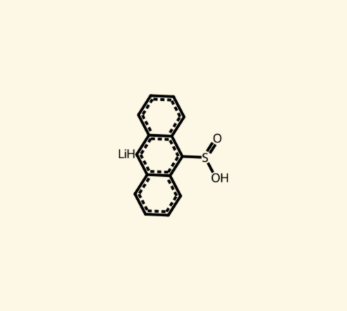 O=S(O)c1c2ccccc2cc2ccccc12.[LiH]